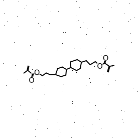 C=C(C)C(=O)OCCCC1CCC(C2CCC(CCCOC(=O)C(=C)C)CC2)CC1